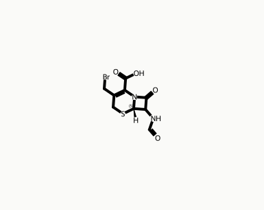 O=CNC1C(=O)N2C(C(=O)O)=C(CBr)CS[C@@H]12